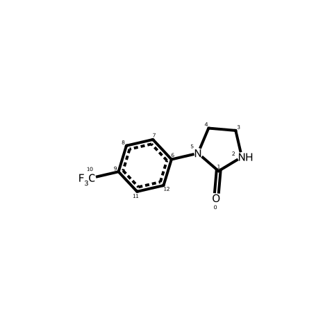 O=C1NCCN1c1ccc(C(F)(F)F)cc1